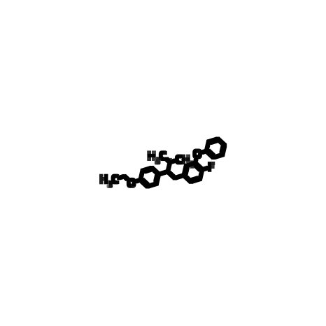 CCOc1ccc(C(Cc2ccc(F)c(Oc3ccccc3)c2)[C](C)C)cc1